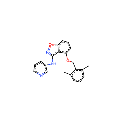 Cc1cccc(C)c1COc1cccc2onc(Nc3cccnc3)c12